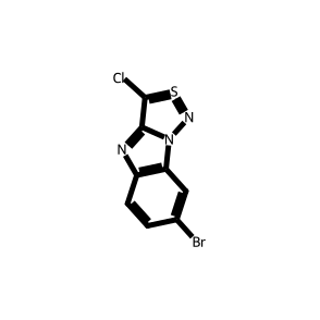 ClC1=S=Nn2c1nc1ccc(Br)cc12